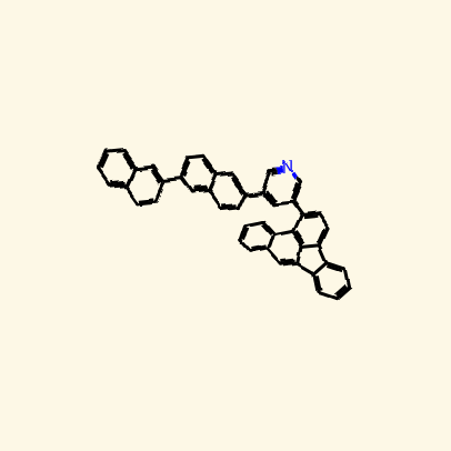 c1ccc2c(c1)-c1ccc(-c3cncc(-c4ccc5cc(-c6ccc7ccccc7c6)ccc5c4)c3)c3c1c-2cc1ccccc13